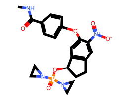 CNC(=O)c1ccc(Oc2cc3c(cc2[N+](=O)[O-])CC[C@H]3OP(=O)(N2CC2)N2CC2)cc1